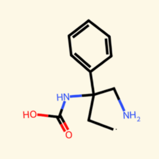 [CH2]CC(CN)(NC(=O)O)c1ccccc1